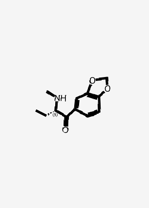 CC[C@H](NC)C(=O)c1ccc2c(c1)OCO2